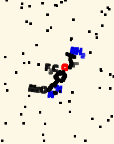 COc1cc(-c2ccc(OC[C@@H](C)CC(C)(C)N)c(C(F)(F)F)c2)ncn1